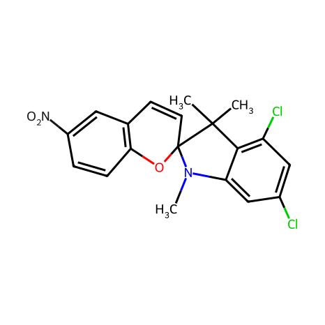 CN1c2cc(Cl)cc(Cl)c2C(C)(C)C12C=Cc1cc([N+](=O)[O-])ccc1O2